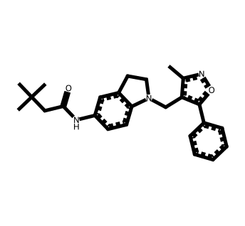 Cc1noc(-c2ccccc2)c1CN1CCc2cc(NC(=O)CC(C)(C)C)ccc21